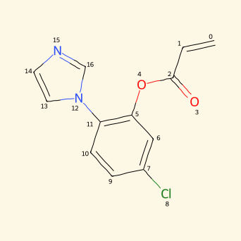 C=CC(=O)Oc1cc(Cl)ccc1-n1ccnc1